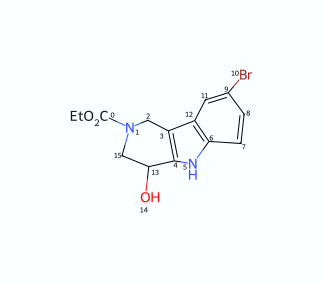 CCOC(=O)N1Cc2c([nH]c3ccc(Br)cc23)C(O)C1